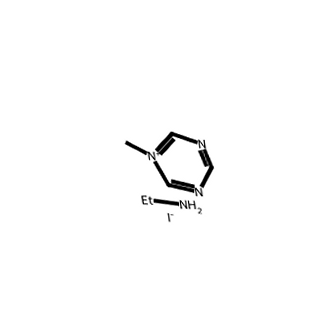 CCN.C[n+]1cncnc1.[I-]